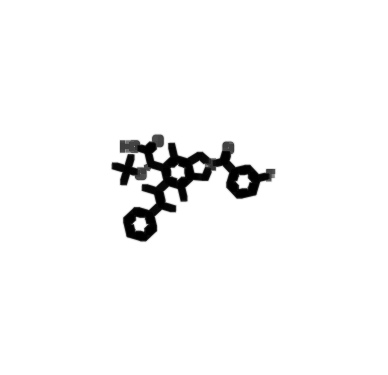 CC(=C(C)c1c(C)c2c(c(C)c1[C@H](OC(C)(C)C)C(=O)O)CN(C(=O)c1cccc(F)c1)C2)c1ccccc1